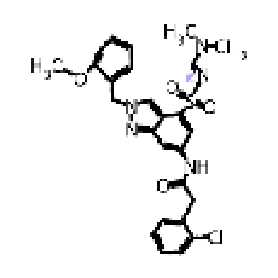 COc1ccccc1Cn1cc2c(S(=O)(=O)/N=C/N(C)C)cc(NC(=O)Cc3ccccc3Cl)cc2n1